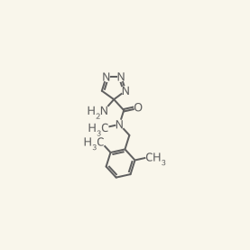 Cc1cccc(C)c1CN(C)C(=O)C1(N)C=NN=N1